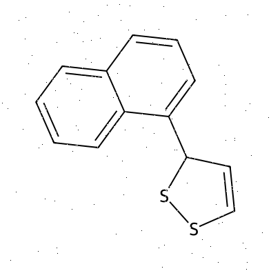 C1=CC(c2cccc3ccccc23)SS1